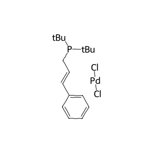 CC(C)(C)P(CC=Cc1ccccc1)C(C)(C)C.[Cl][Pd][Cl]